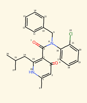 Cc1cc(=O)c(C(=O)N(Cc2ccccc2)c2ccccc2Cl)c(CC(C)C)[nH]1